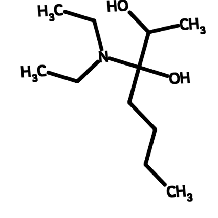 CCCCC(O)(C(C)O)N(CC)CC